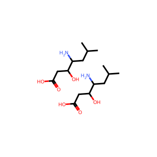 CC(C)CC(N)C(O)CC(=O)O.CC(C)CC(N)C(O)CC(=O)O